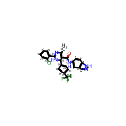 CC1=C(C(=O)Nc2ccc3[nH]ncc3c2)C(c2ccc(C(F)(F)F)cc2)NC(c2ccccc2Cl)=N1